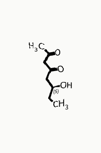 CC[C@H](O)CC(=O)CC(C)=O